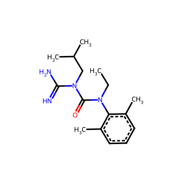 CCN(C(=O)N(CC(C)C)C(=N)N)c1c(C)cccc1C